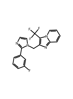 Fc1cccc(-c2nccn2Cc2nc3ccccn3c2C(F)(F)F)c1